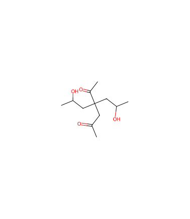 CC(=O)CC(CC(C)O)(CC(C)O)C(C)=O